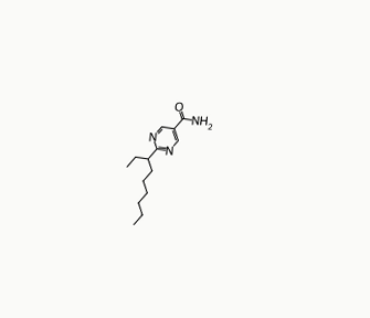 CCCCCCC(CC)c1ncc(C(N)=O)cn1